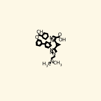 C[C@H](Oc1cccc(-c2cccc(-n3ncc(C(=O)O)c3C3CC3c3cn(CCN(C)C)nn3)c2)c1)C1CCCCC1